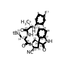 C[C@H](Nc1ccc(F)cc1)C(=O)N[C@@H](CC(C)(C)C)C(=O)N1C[C@]2(C[C@H]1C#N)C(=O)Nc1ccccc12